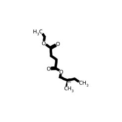 CCOC(=O)CCC(=O)OC[C@H](C)CC